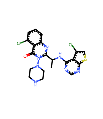 CC(Nc1ncnc2scc(Cl)c12)c1nc2cccc(Cl)c2c(=O)n1N1CCNCC1